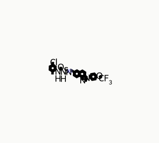 Cc1ccc(Cl)cc1NC(=O)NS/N=C/c1ccc2c(ccc3c2ncn3-c2ccc(OC(F)(F)F)cc2)c1